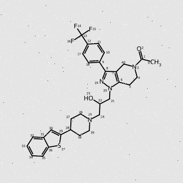 CC(=O)N1CCc2c(c(-c3ccc(C(F)(F)F)cc3)nn2CC(O)CN2CCC(c3cc4ccccc4s3)CC2)C1